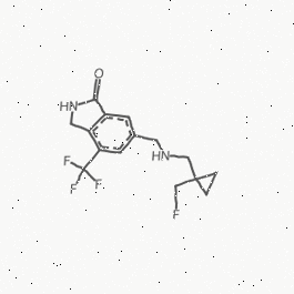 O=C1NCc2c1cc(CNCC1(CF)CC1)cc2C(F)(F)F